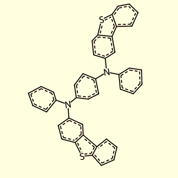 c1ccc(N(c2ccc(N(c3ccccc3)c3ccc4sc5ccccc5c4c3)cc2)c2ccc3sc4ccccc4c3c2)cc1